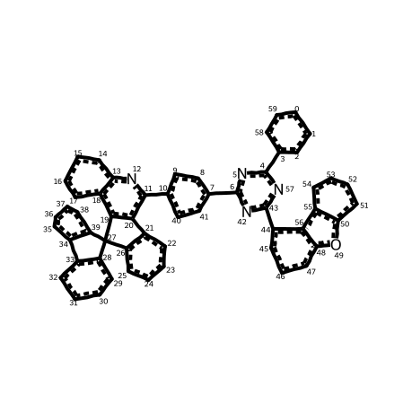 c1ccc(-c2nc(-c3ccc(-c4nc5ccccc5c5c4-c4ccccc4C54c5ccccc5-c5ccccc54)cc3)nc(-c3cccc4oc5ccccc5c34)n2)cc1